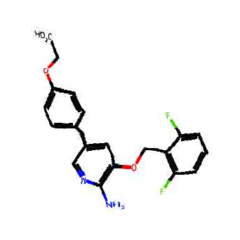 Nc1ncc(-c2ccc(OCC(=O)O)cc2)cc1OCc1c(F)cccc1F